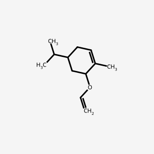 C=COC1CC(C(C)C)CC=C1C